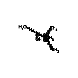 CCCCCCCCCCN(CCCO)CCCCCCC(C)(C(=O)OCCCCCC)C(=O)OCCCCCCCC